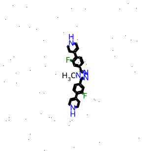 Cn1c(-c2ccc(C3=CCNCC3)c(F)c2)nnc1-c1ccc(C2=CCNCC2)c(F)c1